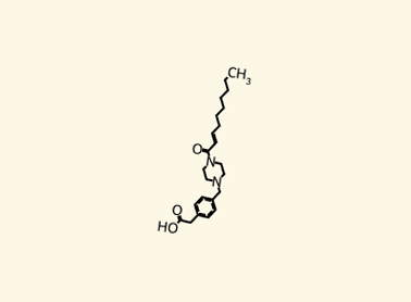 CCCCCCCC=CC(=O)N1CCN(Cc2ccc(CC(=O)O)cc2)CC1